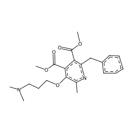 COC(=O)c1c(Cc2ccccc2)nc(C)c(OCCCN(C)C)c1C(=O)OC